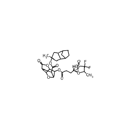 CC(OC(=O)CCC(=O)OC1C2OC(=O)C3C2OC1C3C(=O)OC1(C)CC2C3CCC(C3)C2C1)C(F)(F)S(=O)(=O)O